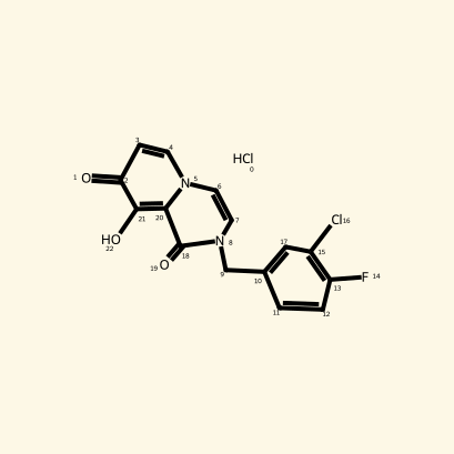 Cl.O=c1ccn2ccn(Cc3ccc(F)c(Cl)c3)c(=O)c2c1O